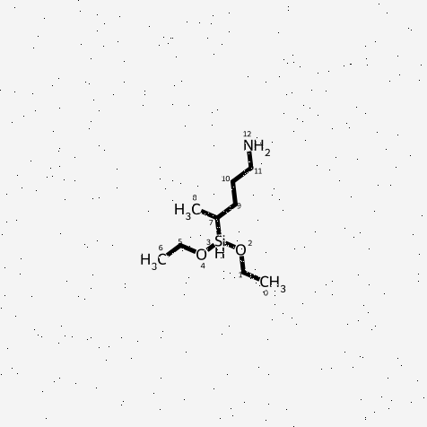 CCO[SiH](OCC)C(C)CCCN